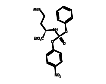 CCOC(=O)[C@H](CCSC)NP(=O)(Oc1ccccc1)Oc1ccc([N+](=O)[O-])cc1